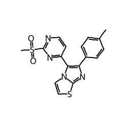 Cc1ccc(-c2nc3sccn3c2-c2ccnc(S(C)(=O)=O)n2)cc1